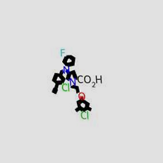 C#Cc1ccc(CN(c2cccc(F)c2)c2cc(C(=O)O)n(CCCOc3cc(C)c(Cl)c(C)c3)c2)cc1Cl